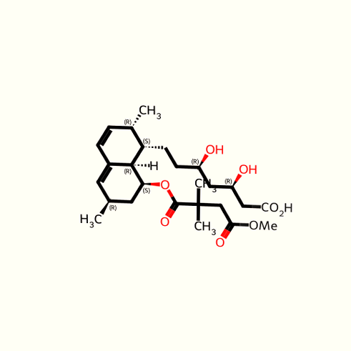 COC(=O)CC(C)(C)C(=O)O[C@H]1C[C@@H](C)C=C2C=C[C@H](C)[C@H](CC[C@@H](O)C[C@@H](O)CC(=O)O)[C@H]21